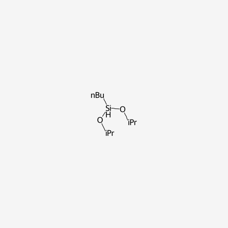 CCCC[SiH](OC(C)C)OC(C)C